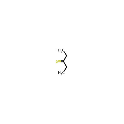 [CH2]CC(=S)[CH]C